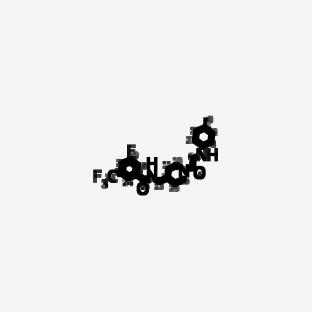 C[C@H]1CC[C@H](NCC(=O)N2CCC(CNC(=O)c3cc(F)cc(C(F)(F)F)c3)CC2)CC1